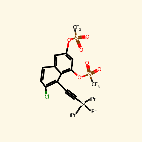 CC(C)[Si](C#Cc1c(Cl)ccc2cc(OS(=O)(=O)C(F)(F)F)cc(OS(=O)(=O)C(F)(F)F)c12)(C(C)C)C(C)C